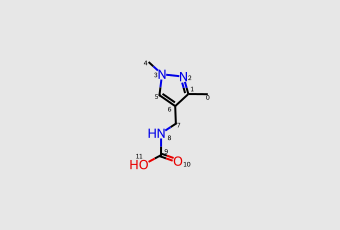 Cc1nn(C)cc1CNC(=O)O